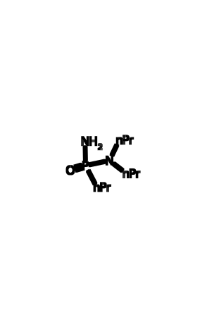 CCCN(CCC)P(N)(=O)CCC